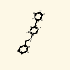 c1ccc(COc2cnc(-c3ccccn3)cn2)cc1